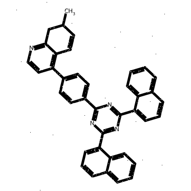 CC1C=Cc2c(-c3ccc(-c4nc(-c5cccc6ccccc56)nc(-c5cccc6ccccc56)n4)cc3)ccnc2C1